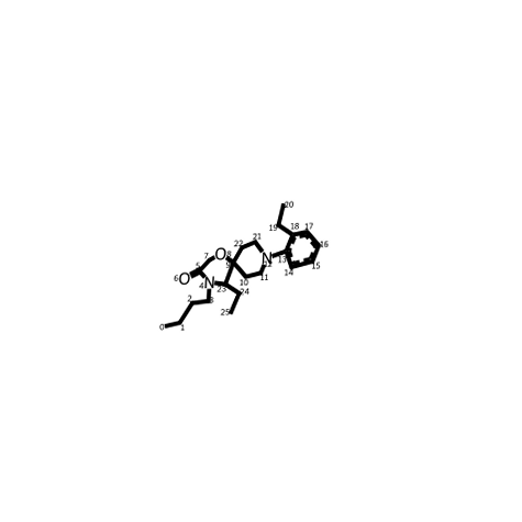 CCCCN1C(=O)COC2(CCN(c3ccccc3CC)CC2)C1CC